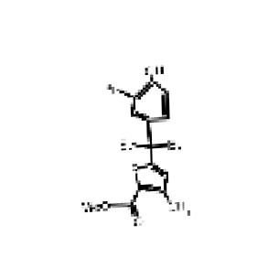 CCC(CC)(c1ccc(O)c(C(C)C)c1)c1cc(C)c(C(=O)OC)s1